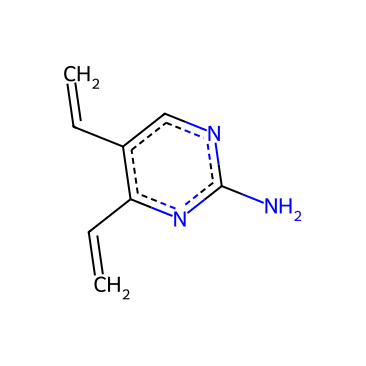 C=Cc1cnc(N)nc1C=C